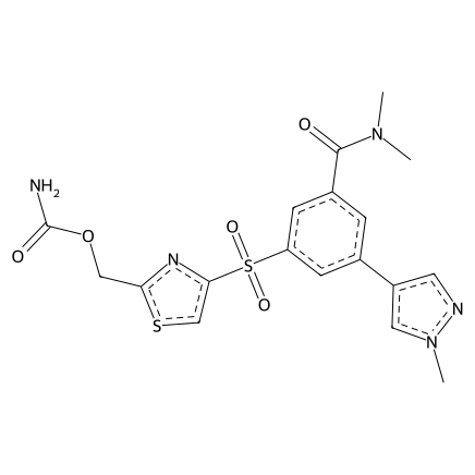 CN(C)C(=O)c1cc(-c2cnn(C)c2)cc(S(=O)(=O)c2csc(COC(N)=O)n2)c1